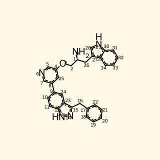 N[C@H](COc1cncc(-c2ccc3[nH]nc(Cc4ccccc4)c3c2)c1)Cc1c[nH]c2ccccc12